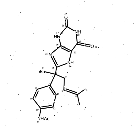 CCC(C)C(CC=C(C)C)(c1ccc(NC(C)=O)cc1)c1nc2[nH]c(=O)[nH]c(=O)c2[nH]1